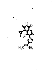 CCC(N)C1CCN(c2c(F)cn3c(=O)[nH]c(=O)c(C4CC4)c3c2C)C1